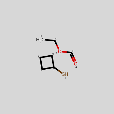 CCOC=O.SC1CCC1